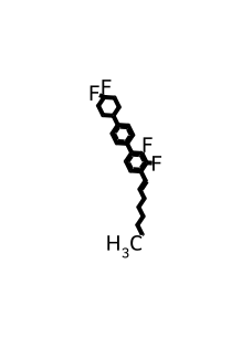 CCCCCCC=Cc1ccc(-c2ccc(C3CCC(F)(F)CC3)cc2)c(F)c1F